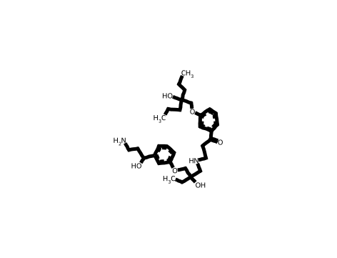 CCCC(O)(CCC)COc1cccc(C(=O)CCNCC(O)(CC)COc2cccc(C(O)CCN)c2)c1